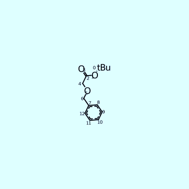 CC(C)(C)OC(=O)COCc1ccccc1